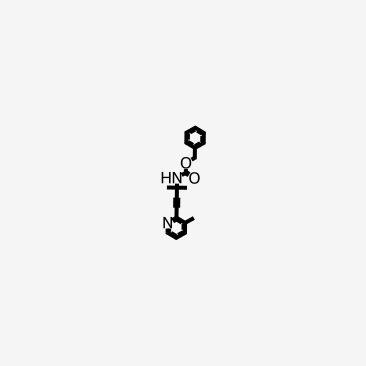 Cc1cccnc1C#CC(C)(C)NC(=O)OCc1ccccc1